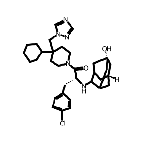 O=C([C@@H](Cc1ccc(Cl)cc1)NC1C2C[C@H]3CC1C[C@@](O)(C2)C3)N1CCC(Cn2cncn2)(C2CCCCC2)CC1